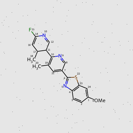 COc1ccc2nc(-c3cnc(C4C=NC(F)=CC4C)c(C)c3)sc2c1